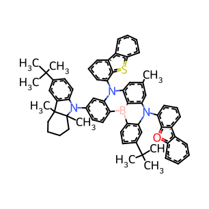 Cc1cc2c3c(c1)N(c1cccc4c1sc1ccccc14)c1cc(N4c5ccc(C(C)(C)C)cc5C5(C)CCCCC45C)ccc1B3c1ccc(C(C)(C)C)cc1N2c1cccc2c1oc1ccccc12